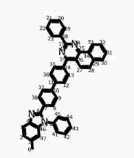 Cc1ccc2nc(-c3ccc(-c4ccc(-c5nc(-c6ccccc6)nc6c5ccc5ccccc56)cc4)cc3)n(-c3ccccc3)c2c1